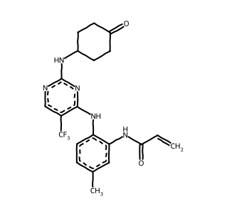 C=CC(=O)Nc1cc(C)ccc1Nc1nc(NC2CCC(=O)CC2)ncc1C(F)(F)F